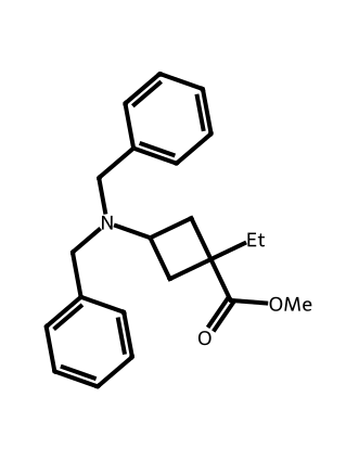 CCC1(C(=O)OC)CC(N(Cc2ccccc2)Cc2ccccc2)C1